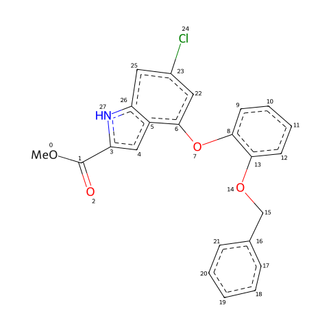 COC(=O)c1cc2c(Oc3ccccc3OCc3ccccc3)cc(Cl)cc2[nH]1